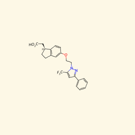 O=C(O)C[C@@H]1CCc2cc(OCCn3nc(-c4ccccc4)cc3C(F)(F)F)ccc21